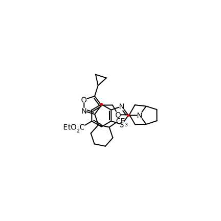 CCOC(=O)c1ccc2nc(N3C4CCC3CC(OCc3c(C5CCCCC5C(F)(F)F)noc3C3CC3)C4)sc2c1